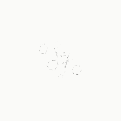 CC(=O)N(C(=O)c1ccccc1)c1ccccc1N(C(C)=O)C(=O)c1ccccc1